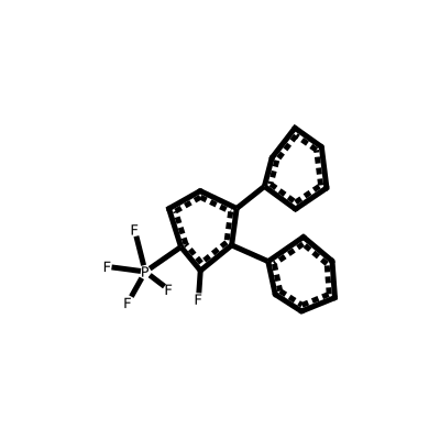 Fc1c(P(F)(F)(F)F)ccc(-c2ccccc2)c1-c1ccccc1